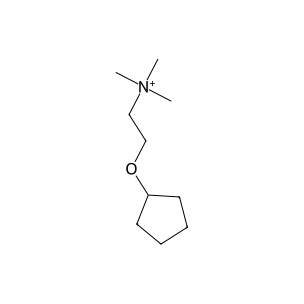 C[N+](C)(C)CCOC1CCCC1